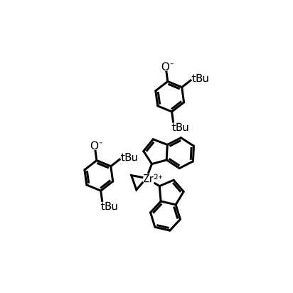 C1=C[CH]([Zr+2]2([CH]3C=Cc4ccccc43)[CH2][CH2]2)c2ccccc21.CC(C)(C)c1ccc([O-])c(C(C)(C)C)c1.CC(C)(C)c1ccc([O-])c(C(C)(C)C)c1